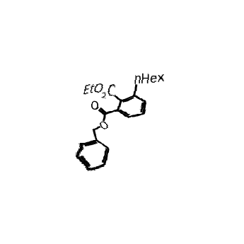 CCCCCCc1cccc(C(=O)OCc2ccccc2)c1C(=O)OCC